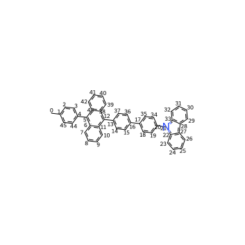 Cc1ccc(-c2c3ccccc3c(-c3ccc(-c4ccc(-n5c6ccccc6c6ccccc65)cc4)cc3)c3ccccc23)cc1